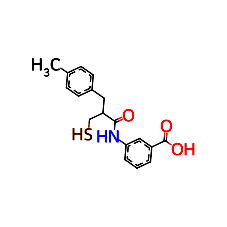 Cc1ccc(CC(CS)C(=O)Nc2cccc(C(=O)O)c2)cc1